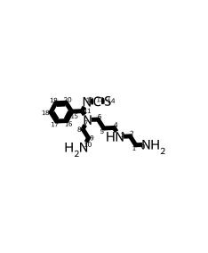 NCCNCCCN(CCN)C(N=C=S)c1ccccc1